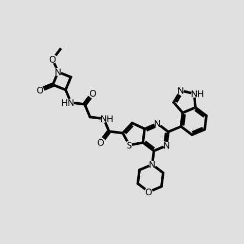 CON1CC(NC(=O)CNC(=O)c2cc3nc(-c4cccc5[nH]ncc45)nc(N4CCOCC4)c3s2)C1=O